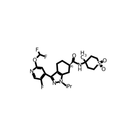 CC(C)n1nc(-c2cc(OC(F)F)ncc2F)c2c1C[C@H](C(=O)NC1(C)CCS(=O)(=O)CC1)CC2